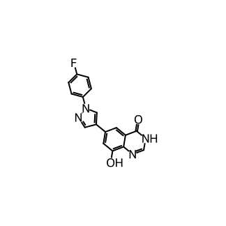 O=c1[nH]cnc2c(O)cc(-c3cnn(-c4ccc(F)cc4)c3)cc12